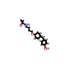 C=CC(=O)NCCCCOc1ccc(Cc2ccc(O)cc2)cc1